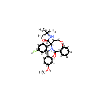 COc1ccc(CN2C(=O)c3ccccc3OCCC2(C(=O)NC(C)(C)C)c2ccc(F)cc2)cc1